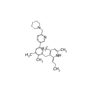 CC/C=C1\NC(C)=CC(C)=C1Cc1cc(-c2ccc(CN3CCCCC3)nc2)cc(C)c1C